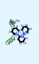 [Cl-].[Cl-].[Cl-].[Cl-].[Cl-].[Cl-].[Ru+3].c1cc[n+](-c2cccc[n+]2-[n+]2ccccc2)cc1